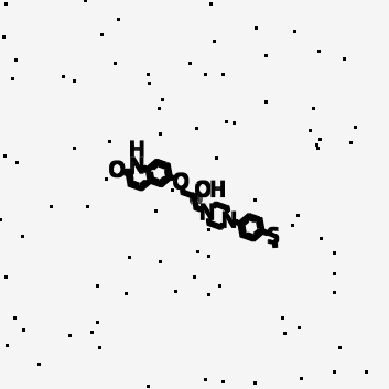 CSc1ccc(N2CCN(C[C@H](O)COc3ccc4[nH]c(=O)ccc4c3)CC2)cc1